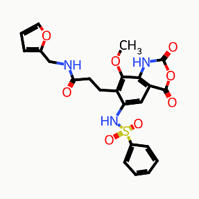 COc1c(CCC(=O)NCc2ccco2)c(NS(=O)(=O)c2ccccc2)cc2c(=O)oc(=O)[nH]c12